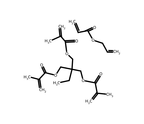 C=C(C)C(=O)OCC(CC)(COC(=O)C(=C)C)COC(=O)C(=C)C.C=CCOC(=O)C=C